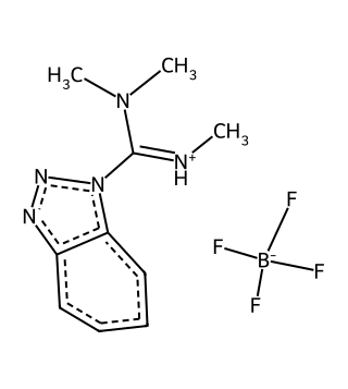 C[NH+]=C(N(C)C)n1nnc2ccccc21.F[B-](F)(F)F